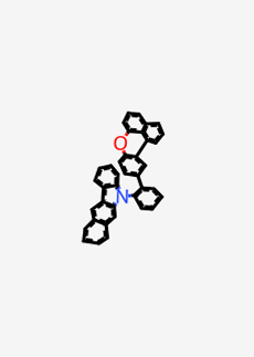 c1ccc(-n2c3ccccc3c3cc4ccccc4cc32)c(-c2ccc3c(c2)-c2cccc4cccc(c24)O3)c1